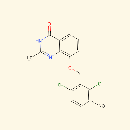 Cc1nc2c(OCc3c(Cl)ccc(N=O)c3Cl)cccc2c(=O)[nH]1